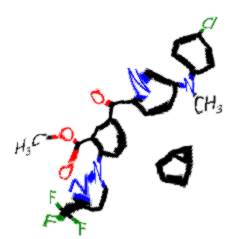 COC(=O)c1cc(C(=O)c2ccc(N(C)c3ccc(Cl)cc3)cn2)ccc1-n1ccc(C(F)(F)F)n1.c1cc2cc-2c1